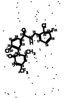 Cc1cc(C(F)(F)F)nc(=O)n1-c1cc(C(=O)NCc2cccc(F)c2Cl)ccc1Cl